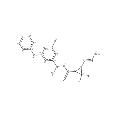 CC(C)CON=CC1C(C(=O)OC(C#N)c2cc(F)cc(Oc3ccccc3)c2)C1(C)C